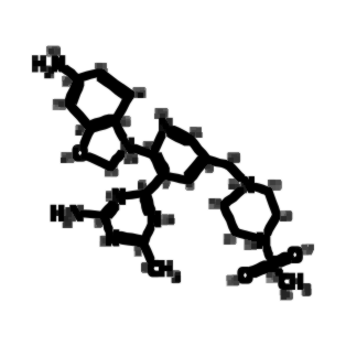 Cc1nc(N)nc(-c2cc(CN3CCN(S(C)(=O)=O)CC3)cnc2N2COc3cc(N)ccc32)n1